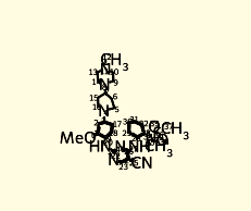 COc1cc(N2CCC(N3CCN(C)CC3)CC2)ccc1Nc1ncc(C#N)c(Nc2ccccc2N(C)S(C)(=O)=O)n1